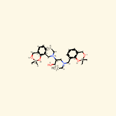 C[Si]1(C)OCc2cccc(CN(CC(=O)O)CC(CO)N(CC(=O)O)Cc3cccc4c3O[Si](C)(C)OC4)c2O1